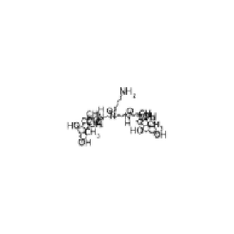 C[C@H](CCC(=O)NCCCCN(CCCNC(=O)CC[C@@H](C)C1CCC2C3C(O)CC4CC(O)CCC4(C)C3CC(O)C21C)C(=O)CCCCCCCN)C1CCC2C3C(O)CC4CC(O)CCC4(C)C3CC(O)C21C